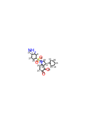 NCc1ccc(S(=O)(=O)n2cc(-c3ccccc3)c3c2C=CC(=O)C3=O)cc1